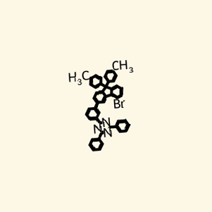 Cc1ccc(C2(c3ccc(C)cc3)c3ccc(-c4cccc(-c5nc(-c6ccccc6)nc(-c6ccccc6)n5)c4)cc3-c3c(Br)cccc32)cc1